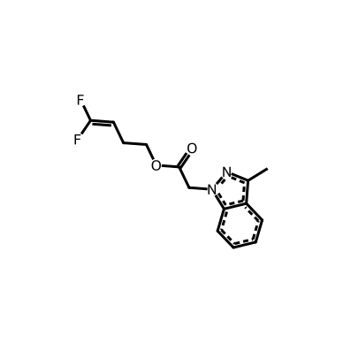 Cc1nn(CC(=O)OCCC=C(F)F)c2ccccc12